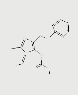 COC(=O)CC1=C(COc2ccccc2)N=C(Cl)S1=CO